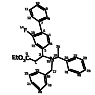 CCOC(=O)CC(c1ccc(-c2ccccc2)c(F)c1)N(Cc1ccccc1)C(C)c1ccccc1